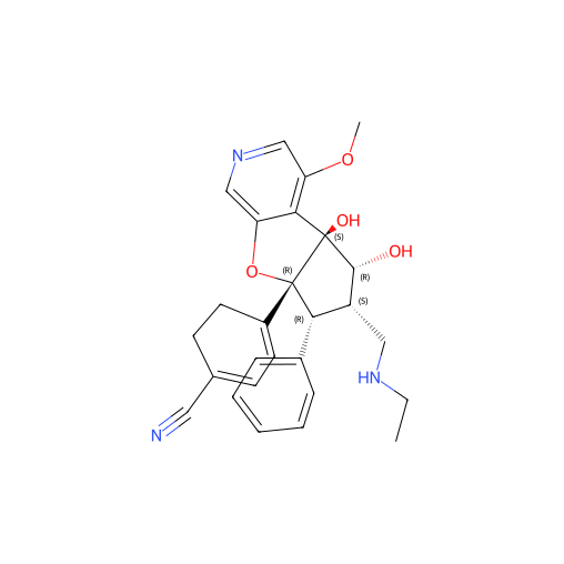 CCNC[C@H]1[C@@H](O)[C@@]2(O)c3c(OC)cncc3O[C@@]2(C2=CC=C(C#N)CC2)[C@H]1c1ccccc1